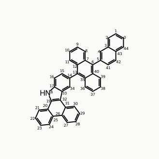 c1ccc2cc(-c3c4ccccc4c(-c4ccc5[nH]c6c7ccccc7c7ccccc7c6c5c4)c4ccccc34)ccc2c1